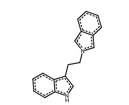 c1ccc2cn(CCc3c[nH]c4ccccc34)cc2c1